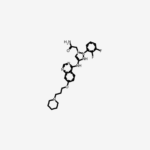 NC(=O)CN1C=C(Nc2ncnc3cc(OCCCN4CCCCC4)ccc23)NN1c1cccc(F)c1F